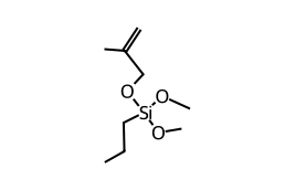 C=C(C)CO[Si](CCC)(OC)OC